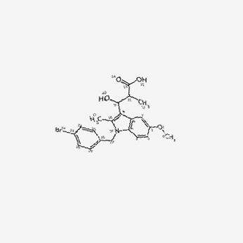 COc1ccc2c(c1)c(C(O)C(C)C(=O)O)c(C)n2Cc1ccc(Br)cc1